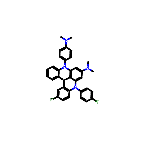 CN(C)c1ccc(N2c3ccccc3B3c4cc(F)ccc4N(c4ccc(F)cc4)c4cc(N(C)C)cc2c43)cc1